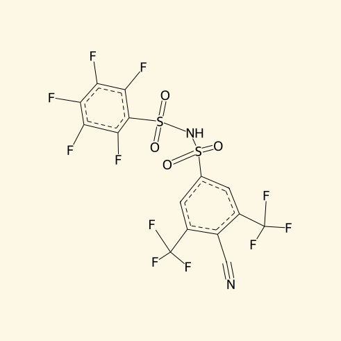 N#Cc1c(C(F)(F)F)cc(S(=O)(=O)NS(=O)(=O)c2c(F)c(F)c(F)c(F)c2F)cc1C(F)(F)F